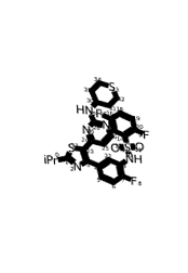 CC(C)c1nc(-c2ccc(F)c(NS(=O)(=O)c3cc(F)ccc3F)c2)c(-c2ccnc(NC3CCSCC3)n2)s1